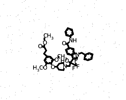 CCOC(=O)CCc1cc(OC)c(OC2CCN(CC(O)(c3cn(Cc4ccccc4)c4cc(C(=O)Nc5ccccc5)ccc34)C(F)(F)F)CC2)c(OC)c1